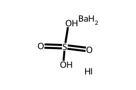 I.O=S(=O)(O)O.[BaH2]